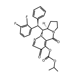 CC(C)OC(=O)Oc1c2n(ncc1=O)[C@@H]([C@H](c1ccccc1)c1cccc(F)c1F)[C@H]1CCCN1C2=O